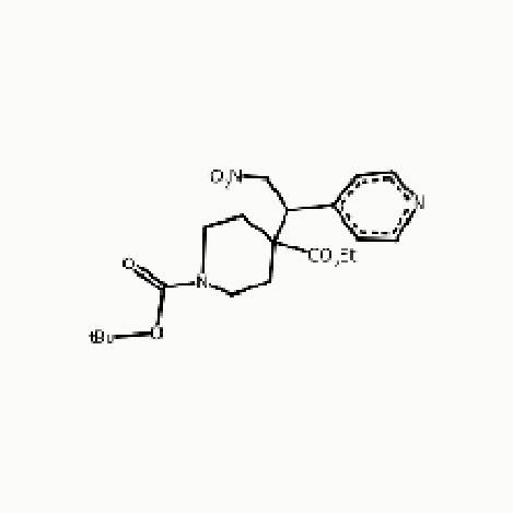 CCOC(=O)C1(C(C[N+](=O)[O-])c2ccncc2)CCN(C(=O)OC(C)(C)C)CC1